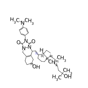 C[C@H](CCCC(C)(C)O)[C@H]1CC[C@H]2/C(=C/C3C4=C(CC[C@H](O)C4)Cn4c(=O)n(-c5ccc(N(C)C)cc5)c(=O)n43)CCC[C@]12C